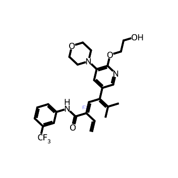 C=C/C(=C\C(=C(C)C)c1cnc(OCCO)c(N2CCOCC2)c1)C(=O)Nc1cccc(C(F)(F)F)c1